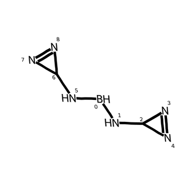 B(NC1N=N1)NC1N=N1